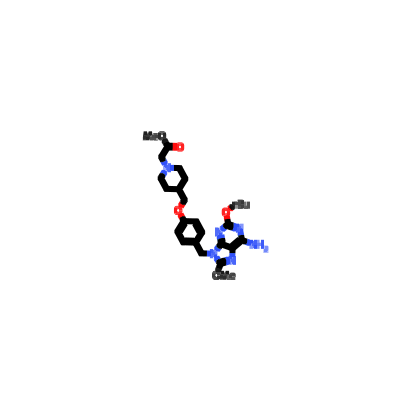 CCCCOc1nc(N)c2nc(OC)n(Cc3ccc(OCC4CCN(CC(=O)OC)CC4)cc3)c2n1